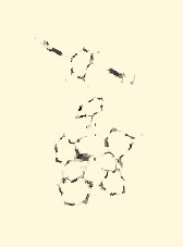 N#Cc1ccc(C#N)c(-c2ccc(N3c4ccccc4[Si](c4ccccc4)(c4ccccc4)c4ccccc43)cc2)c1